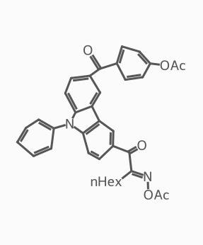 CCCCCC/C(=N\OC(C)=O)C(=O)c1ccc2c(c1)c1cc(C(=O)c3ccc(OC(C)=O)cc3)ccc1n2-c1ccccc1